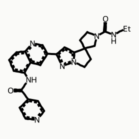 CCNC(=O)N1CCC2(CCn3nc(-c4cnc5cccc(NC(=O)c6ccncc6)c5c4)cc32)C1